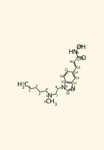 C=CCCCN(C)CCn1cnc2cc(/C=C/C(=O)NO)ccc21